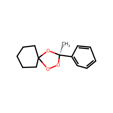 C[C@]1(c2ccccc2)OOC2(CCCCC2)O1